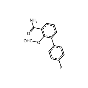 NC(=O)c1cccc(-c2ccc(F)cc2)c1OC=O